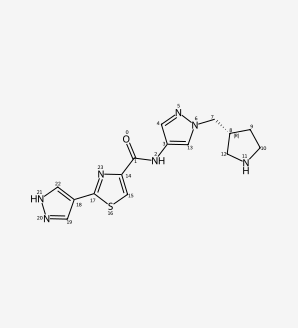 O=C(Nc1cnn(C[C@@H]2CCNC2)c1)c1csc(-c2cn[nH]c2)n1